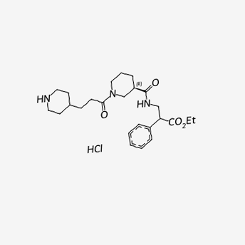 CCOC(=O)C(CNC(=O)[C@@H]1CCCN(C(=O)CCC2CCNCC2)C1)c1ccccc1.Cl